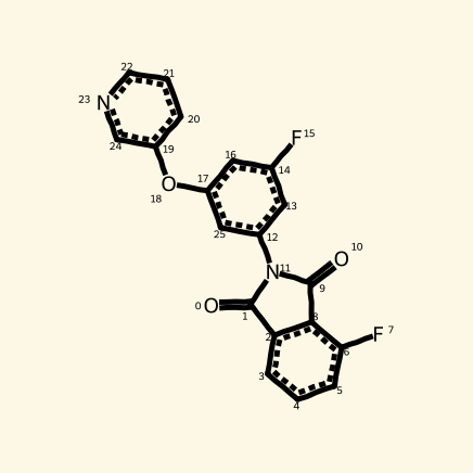 O=C1c2cccc(F)c2C(=O)N1c1cc(F)cc(Oc2cccnc2)c1